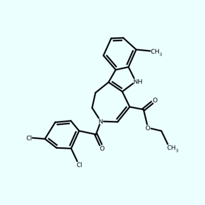 CCOC(=O)C1=CN(C(=O)c2ccc(Cl)cc2Cl)CCc2c1[nH]c1c(C)cccc21